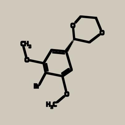 COc1cc([C@H]2COCCO2)cc(OC)c1Br